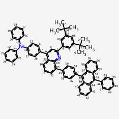 CC(C)(C)c1cc(-c2cc(-c3ccc(N(c4ccccc4)c4ccccc4)cc3)c3cccc(-c4ccc(-c5c6ccccc6c(-c6ccccc6)c6ccccc56)cc4)c3n2)cc(C(C)(C)C)c1